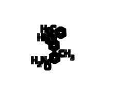 Cc1ccc(C(N)=O)cc1-c1ccc2c(c1)CNC(=O)N2c1ccccc1C